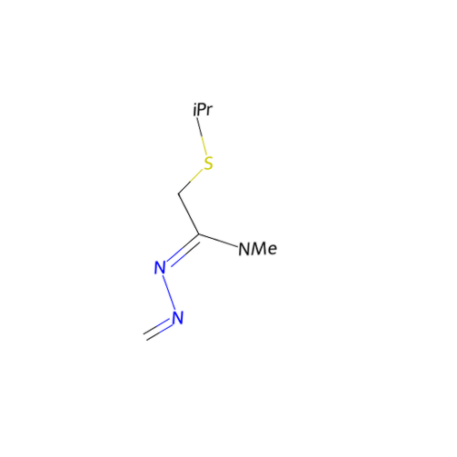 C=N/N=C(/CSC(C)C)NC